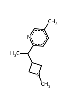 Cc1ccc(C(C)C2CN(C)C2)nc1